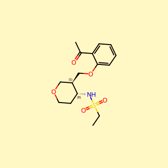 CCS(=O)(=O)N[C@@H]1CCOC[C@H]1COc1ccccc1C(C)=O